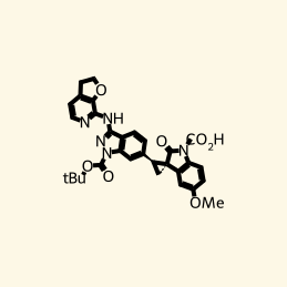 COc1ccc2c(c1)[C@]1(C[C@H]1c1ccc3c(Nc4nccc5c4OCC5)nn(C(=O)OC(C)(C)C)c3c1)C(=O)N2C(=O)O